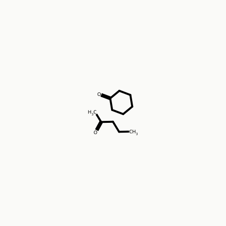 CCCC(C)=O.O=C1CCCCC1